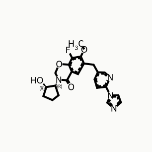 COc1c(Cc2ccc(-n3ccnc3)nc2)cc2c(c1F)OCN([C@@H]1CCC[C@H]1O)C2=O